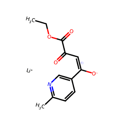 CCOC(=O)C(=O)/C=C(/[O-])c1ccc(C)nc1.[Li+]